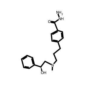 CN(CCCc1ccc(C(=O)NN)cc1)C[C@@H](O)c1ccccc1